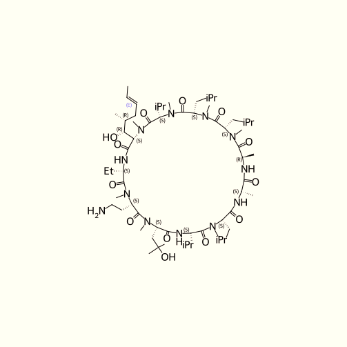 C/C=C/C[C@@H](C)[C@@H](O)[C@H]1C(=O)N[C@@H](CC)C(=O)N(C)[C@@H](CCN)C(=O)N(C)[C@@H](CC(C)(C)O)C(=O)N[C@@H](C(C)C)C(=O)N(C)[C@@H](CC(C)C)C(=O)N[C@@H](C)C(=O)N[C@H](C)C(=O)N(C)[C@@H](CC(C)C)C(=O)N(C)[C@@H](CC(C)C)C(=O)N(C)[C@@H](C(C)C)C(=O)N1C